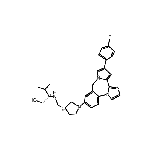 CC(C)[C@@H](CO)NC[C@H]1CCN(c2ccc3c(c2)Cn2cc(-c4ccc(F)cc4)cc2-c2nccn2-3)C1